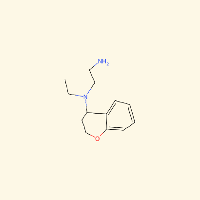 CCN(CCN)C1CCOc2ccccc21